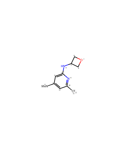 CNc1cc(NC2COC2)nc(C(F)(F)F)c1